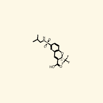 CC(C)CNS(=O)(=O)c1ccc2c(c1)C=C(C(=O)O)[C@@H](C(F)(F)F)O2